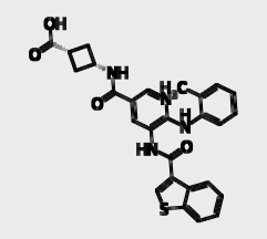 Cc1ccccc1Nc1ncc(C(=O)N[C@H]2C[C@@H](C(=O)O)C2)cc1NC(=O)c1csc2ccccc12